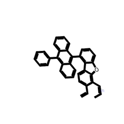 C=Cc1ccc2c(oc3cccc(-c4c5ccccc5c(-c5ccccc5)c5ccccc45)c32)c1/C=C\C